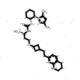 Cc1cc(C)n([C@@H]2CCCC[C@H]2OC(=O)N[C@@H](CCOC2CC(CCc3ccc4c(n3)NCCC4)C2)C(=O)O)n1